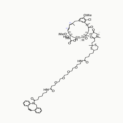 COc1cc2cc(c1Cl)N(C)C(=O)C[C@H](OC(=O)[C@H](C)N(C)C(=O)CCC1(C)SCCC(CCCCC(=O)NCCOCCOCCOCCOCCC(=O)NCCCCCC(=O)N3Cc4ccccc4C#Cc4ccccc43)S1)[C@]1(C)O[C@H]1[C@H](C)[C@@H]1C[C@@](O)(NC(=O)O1)[C@H](OC)/C=C/C=C(\C)C2